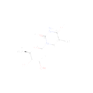 Cc1cn([C@H](CCO)O[C@H](C)CO)c(=O)[nH]c1=O